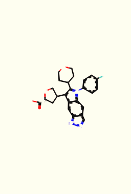 O=C(O)[C@H]1CC(c2c(C3CCOCC3)n(-c3ccc(F)cc3)c3cc4cn[nH]c4cc23)CO1